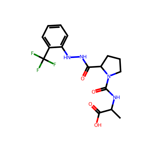 CC(NC(=O)N1CCCC1C(=O)NNc1ccccc1C(F)(F)F)C(=O)O